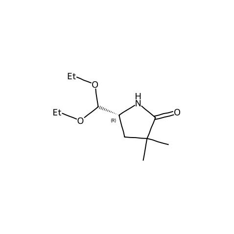 CCOC(OCC)[C@H]1CC(C)(C)C(=O)N1